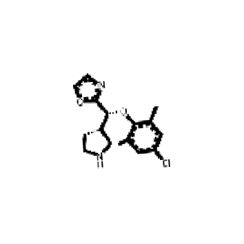 Cc1cc(Cl)cc(C)c1O[C@@H](c1ncco1)[C@H]1CCNC1